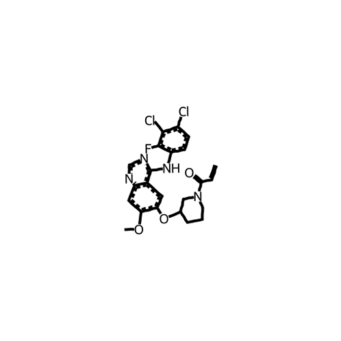 C=CC(=O)N1CCCC(Oc2cc3c(Nc4ccc(Cl)c(Cl)c4F)ncnc3cc2OC)C1